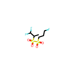 CC(C(F)F)S(=O)(=O)S(=O)(=O)CCCF